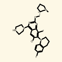 CN1CCC[C@H]1COc1nc(N2CCNCC2)c2cc(Cl)c(N3CCCc4cc(F)ccc43)c(F)c2n1